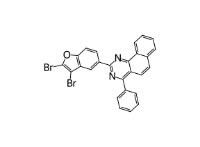 Brc1oc2ccc(-c3nc(-c4ccccc4)c4ccc5ccccc5c4n3)cc2c1Br